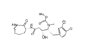 CN(C(=O)OC(C)(C)C)[C@H](Cc1ccc(Cl)c(Cl)c1)[C@H](O)CC(=O)N[C@@H]1CCCCNC1=O